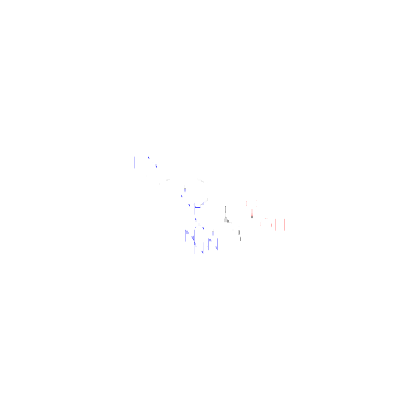 CCC[C@H](C(=O)O)[C@H](Cc1ccc(C2=CCNC2)nc1)c1nnn[nH]1